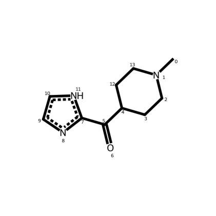 CN1CCC(C(=O)c2ncc[nH]2)CC1